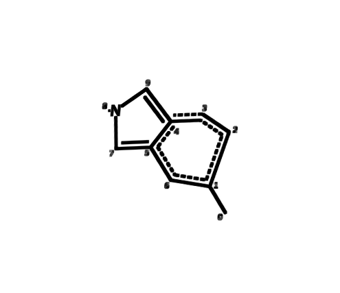 Cc1ccc2c(c1)=C[N]C=2